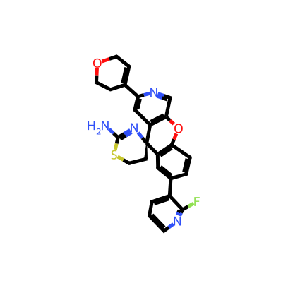 NC1=N[C@@]2(CCS1)c1cc(-c3cccnc3F)ccc1Oc1cnc(C3=CCOCC3)cc12